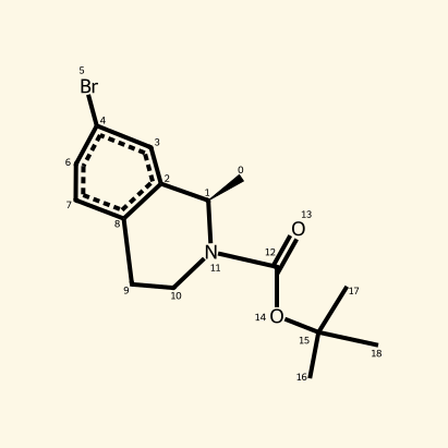 C[C@@H]1c2cc(Br)ccc2CCN1C(=O)OC(C)(C)C